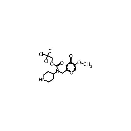 COc1coc(CN(C(=O)OCC(Cl)(Cl)Cl)C2CCNCC2)cc1=O